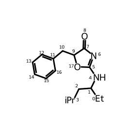 CCC(CC(C)C)NC1=NC(=O)C(Cc2ccccc2)O1